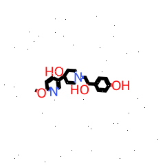 COc1ccc(C2(O)CCN(CC(O)c3ccc(O)cc3)CC2)cn1